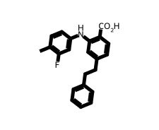 Cc1ccc(Nc2cc(CCc3ccccc3)ccc2C(=O)O)cc1F